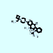 CCC1(N2CCN(c3cc4c(cn3)C(=O)c3c(n(C(N)=O)c5ccccc35)C4(C)C)CC2)CCC1